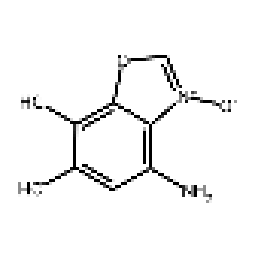 Nc1cc(O)c(O)c2oc[n+]([O-])c12